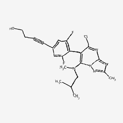 Cc1nc2nc(Cl)c(-c3c(F)cc(C#CCCO)cc3F)c(N(C)CC(C)C)n2n1